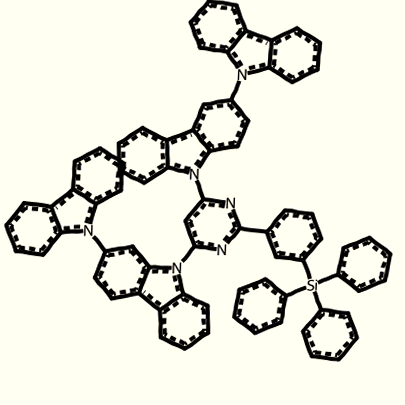 c1ccc([Si](c2ccccc2)(c2ccccc2)c2cccc(-c3nc(-n4c5ccccc5c5cc(-n6c7ccccc7c7ccccc76)ccc54)cc(-n4c5ccccc5c5ccc(-n6c7ccccc7c7ccccc76)cc54)n3)c2)cc1